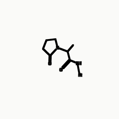 CCNC(=O)C(C)N1CCCC1=O